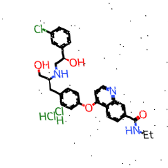 CCNC(=O)c1ccc2c(Oc3ccc(C[C@@H](CO)NC[C@H](O)c4cccc(Cl)c4)cc3)ccnc2c1.Cl.Cl